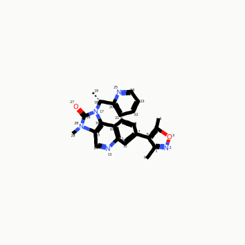 Cc1noc(C)c1-c1ccc2c(c1)ncc1c2n([C@H](C)c2ccccn2)c(=O)n1C